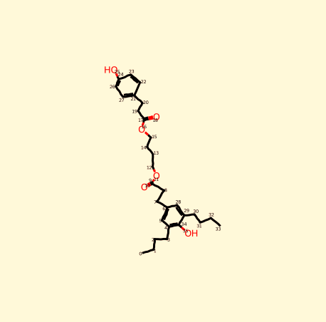 CCCCc1cc(CCC(=O)OCCCCOC(=O)CCc2ccc(O)cc2)cc(CCCC)c1O